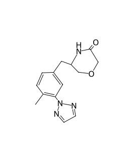 Cc1ccc(CC2COCC(=O)N2)cc1-n1nccn1